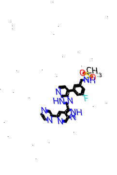 CS(=O)(=O)NCc1cc(F)cc(-c2ccnc3[nH]c(-c4[nH]nc5cnc(-c6cnccn6)cc45)nc23)c1